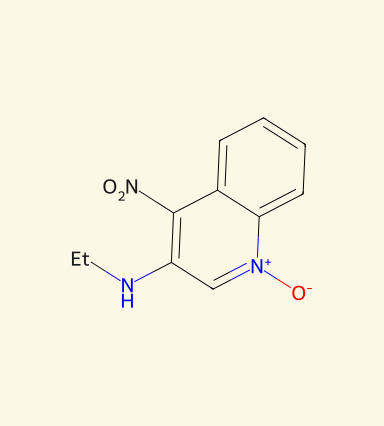 CCNc1c[n+]([O-])c2ccccc2c1[N+](=O)[O-]